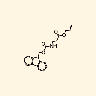 C=CCOC(=O)CCNC(=O)OCC1c2ccccc2-c2ccccc21